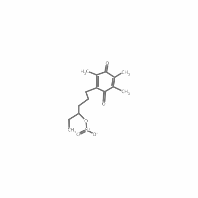 CCC(CCCC1=C(C)C(=O)C(C)=C(C)C1=O)O[N+](=O)[O-]